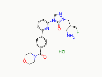 Cl.NC/C(=C\F)Cn1ncn(-c2cccc(-c3ccc(C(=O)N4CCOCC4)cc3)n2)c1=O